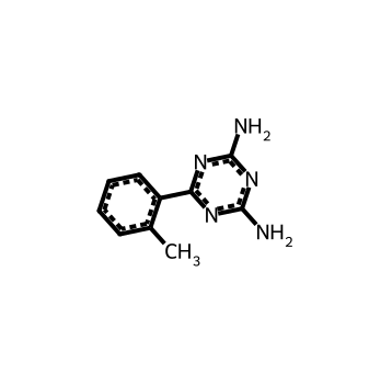 Cc1ccccc1-c1nc(N)nc(N)n1